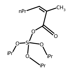 CCCC=C(C)C(=O)O[Si](OC(C)C)(OC(C)C)OC(C)C